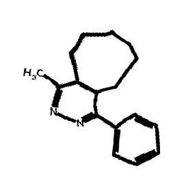 CC1=NN=C(c2ccccc2)C2CCCCCCC12